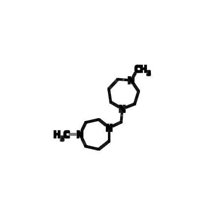 CN1CCCN(CN2CCCN(C)CC2)CC1